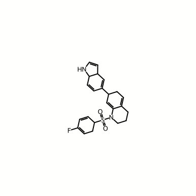 O=S(=O)(C1C=CC(F)=CC1)N1CCCC2=CCC(C3=CC4C=CNC4C=C3)C=C21